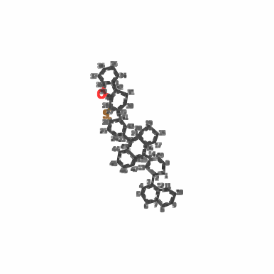 c1cc(-c2cccc3ccccc23)cc(-c2c3ccccc3c(-c3ccc4sc5c(ccc6c7ccccc7oc65)c4c3)c3ccccc23)c1